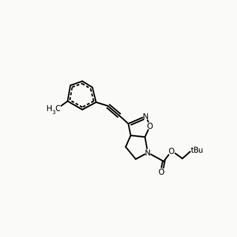 Cc1cccc(C#CC2=NOC3C2CCN3C(=O)OCC(C)(C)C)c1